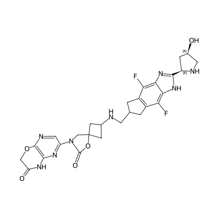 O=C1COc2ncc(N3CC4(CC(NCC5Cc6c(c(F)c7[nH]c([C@H]8C[C@@H](O)CN8)nc7c6F)C5)C4)OC3=O)nc2N1